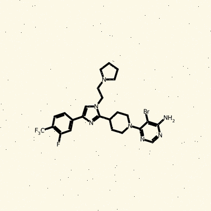 Nc1ncnc(N2CCC(c3nc(-c4ccc(C(F)(F)F)c(F)c4)cn3CCN3CCCC3)CC2)c1Br